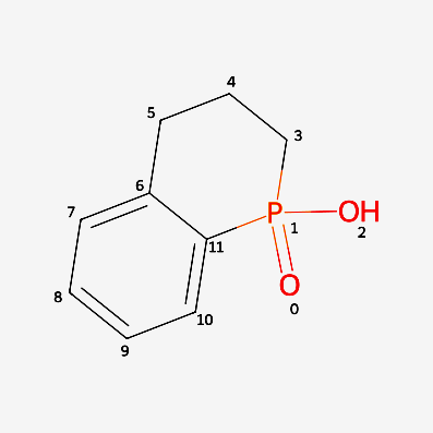 O=P1(O)CCCc2ccccc21